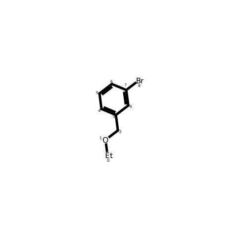 CCOCc1cccc(Br)c1